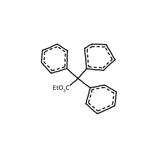 CCOC(=O)C(c1ccccc1)(c1ccccc1)c1ccccc1